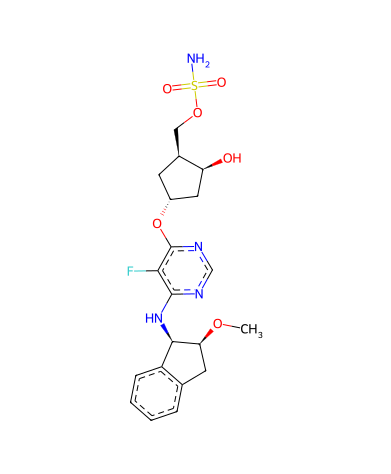 CO[C@H]1Cc2ccccc2[C@H]1Nc1ncnc(O[C@@H]2C[C@@H](COS(N)(=O)=O)[C@@H](O)C2)c1F